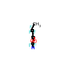 CCCCC(F)c1cc(F)c(C#Cc2ccc(C(=O)Oc3cc(F)c(C#N)c(F)c3)cc2)c(F)c1